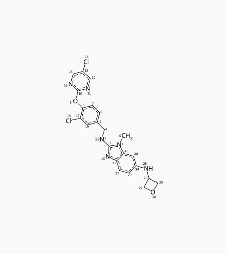 Cn1c(NCc2ccc(Oc3ncc(Cl)cn3)c(Cl)c2)nc2ccc(NC3COC3)cc21